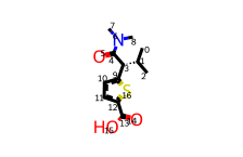 CC(C)[C@@H](C(=O)N(C)C)c1ccc(C(=O)O)s1